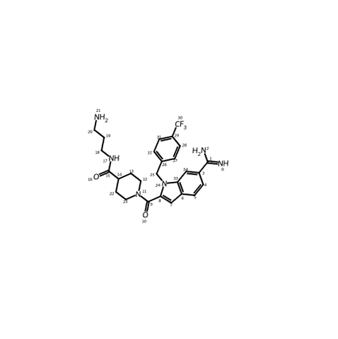 N=C(N)c1ccc2cc(C(=O)N3CCC(C(=O)NCCCN)CC3)n(Cc3ccc(C(F)(F)F)cc3)c2c1